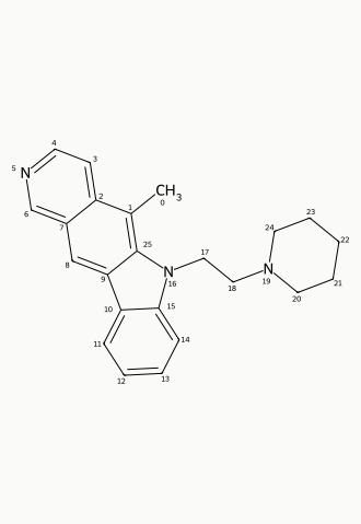 Cc1c2ccncc2cc2c3ccccc3n(CCN3CCCCC3)c12